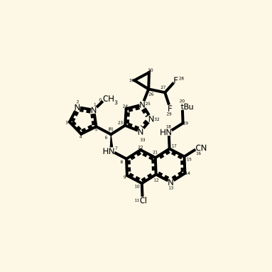 Cn1nccc1[C@H](Nc1cc(Cl)c2ncc(C#N)c(NCC(C)(C)C)c2c1)c1cn(C2(C(F)F)CC2)nn1